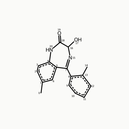 Cc1ccc2c(c1)C(c1ccccc1C)=NC(O)C(=O)N2